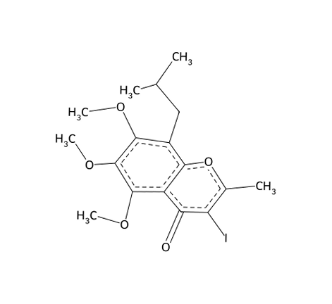 COc1c(OC)c(OC)c2c(=O)c(I)c(C)oc2c1CC(C)C